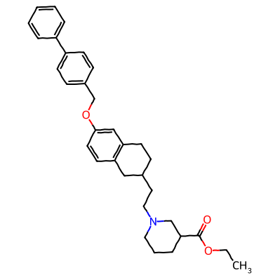 CCOC(=O)C1CCCN(CCC2CCc3cc(OCc4ccc(-c5ccccc5)cc4)ccc3C2)C1